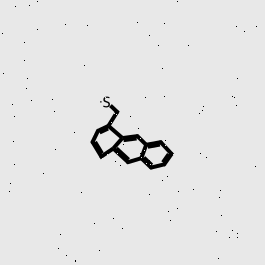 [S]Cc1cccc2cc3ccccc3cc12